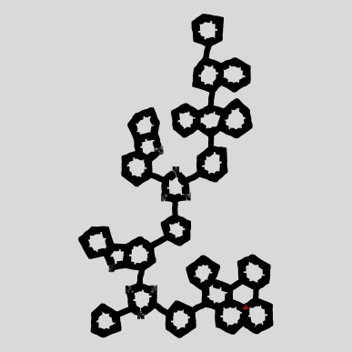 c1ccc(-c2nc(-c3cccc(-c4c5ccccc5c(-c5ccccc5-c5ccccc5)c5ccccc45)c3)nc(-c3cc(-c4cccc(-c5nc(-c6cccc(-c7c8ccccc8c(-c8ccc(-c9ccccc9)c9ccccc89)c8ccccc78)c6)nc(-c6cccc7c6sc6ccccc67)n5)c4)cc4c3sc3ccccc34)n2)cc1